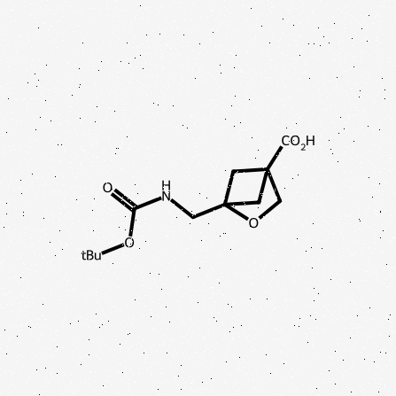 CC(C)(C)OC(=O)NCC12CC(C(=O)O)(CO1)C2